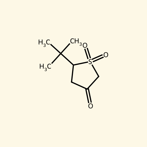 CC(C)(C)C1CC(=O)CS1(=O)=O